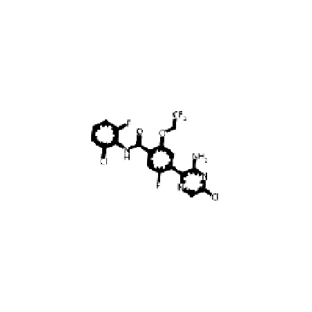 Nc1nc(Cl)cnc1-c1cc(OCC(F)(F)F)c(C(=O)Nc2c(F)cccc2Cl)cc1F